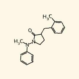 Cc1ccccc1CC1CCN(N(C)c2ccccc2)C1=O